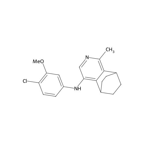 COc1cc(Nc2cnc(C)c3c2C2CCC3CC2)ccc1Cl